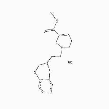 COC(=O)C1=CCCN(CCC2COc3ccccc3C2)C1.Cl